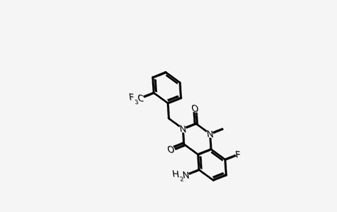 Cn1c(=O)n(Cc2ccccc2C(F)(F)F)c(=O)c2c(N)ccc(F)c21